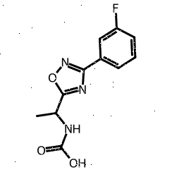 CC(NC(=O)O)c1nc(-c2cccc(F)c2)no1